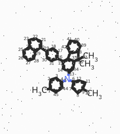 Cc1ccc(N(c2ccc(C)cc2)c2cc(-c3ccc(-c4cccc5ccccc45)cc3)c3c(c2)C(C)(C)c2ccccc2-3)cc1